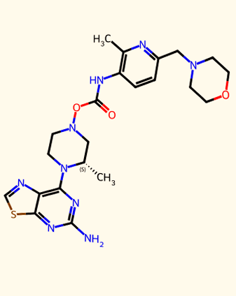 Cc1nc(CN2CCOCC2)ccc1NC(=O)ON1CCN(c2nc(N)nc3scnc23)[C@@H](C)C1